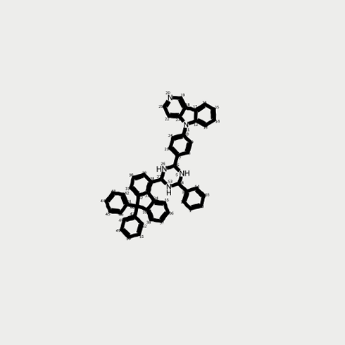 c1ccc(C2NC(c3ccc(-n4c5ccccc5c5cnccc54)cc3)NC(c3cccc4c3-c3ccccc3C4(c3ccccc3)c3ccccc3)N2)cc1